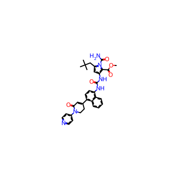 COC(=O)c1c(NC(=O)Nc2ccc(C3=CC(=O)N(c4ccncc4)CC3)c3ccccc23)cc(CC(C)(C)C)n1C(N)=O